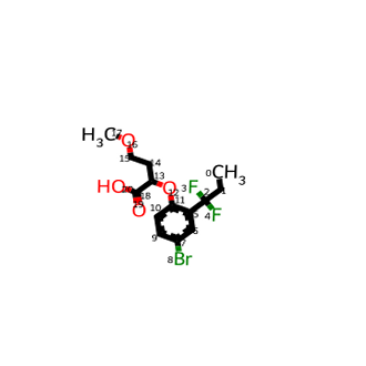 CCC(F)(F)c1cc(Br)ccc1OC(CCOC)C(=O)O